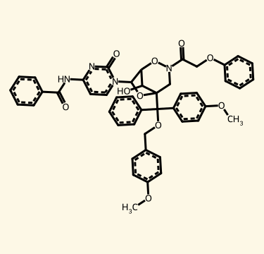 COc1ccc(COC(c2ccccc2)(c2ccc(OC)cc2)C23CN(C(=O)COc4ccccc4)OC(C(n4ccc(NC(=O)c5ccccc5)nc4=O)O2)C3O)cc1